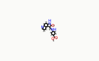 COC(=O)c1ccc(N/C=C2\C(=O)Nc3ccc4ncccc4c32)cc1